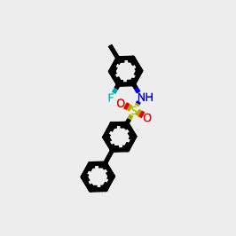 Cc1ccc(NS(=O)(=O)c2ccc(-c3ccccc3)cc2)c(F)c1